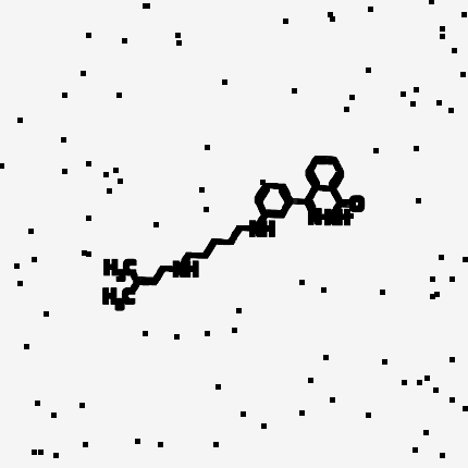 CC(C)=CCNCCCCCNc1cccc(-c2n[nH]c(=O)c3ccccc23)c1